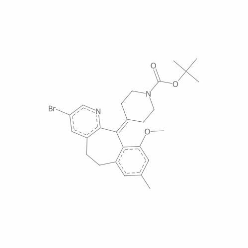 COc1cc(C)cc2c1C(=C1CCN(C(=O)OC(C)(C)C)CC1)c1ncc(Br)cc1CC2